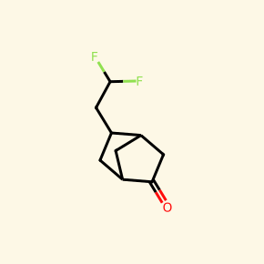 O=C1CC2CC1CC2CC(F)F